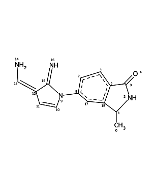 CC1NC(=O)c2ccc(N3C=C/C(=C/N)C3=N)cc21